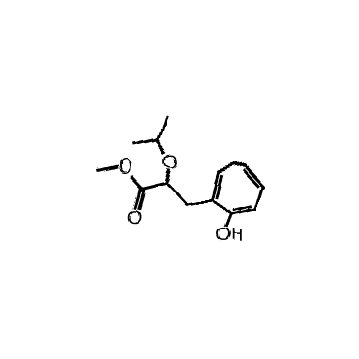 COC(=O)C(Cc1ccccc1O)OC(C)C